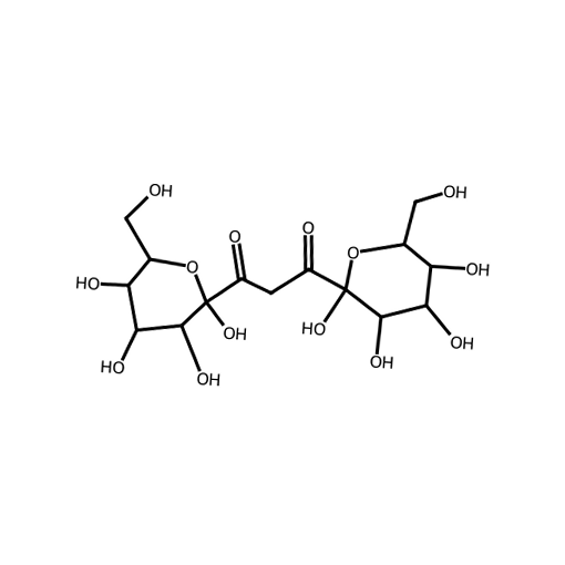 O=C(CC(=O)C1(O)OC(CO)C(O)C(O)C1O)C1(O)OC(CO)C(O)C(O)C1O